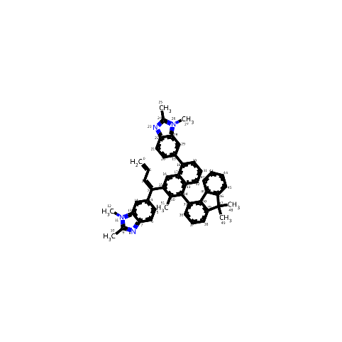 C=C/C=C(/c1ccc2nc(C)n(C)c2c1)c1cc2c(-c3ccc4nc(C)n(C)c4c3)cccc2c(-c2cccc3c2-c2ccccc2C3(C)C)c1C